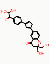 O=C1CC(CO)(CO)Oc2ccc(C3=CC(c4ccc(C(=O)C(O)O)cc4)=CC3)cc21